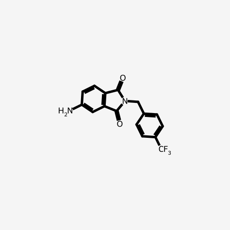 Nc1ccc2c(c1)C(=O)N(Cc1ccc(C(F)(F)F)cc1)C2=O